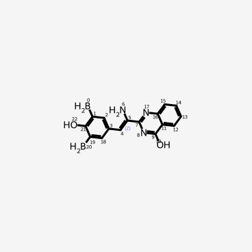 Bc1cc(/C=C(\N)c2nc(O)c3ccccc3n2)cc(B)c1O